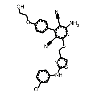 N#Cc1c(N)nc(SCc2csc(Nc3cccc(Cl)c3)n2)c(C#N)c1-c1ccc(OCCO)cc1